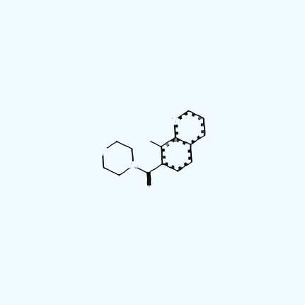 O=C(c1ccc2cccnc2c1O)N1CCOCC1